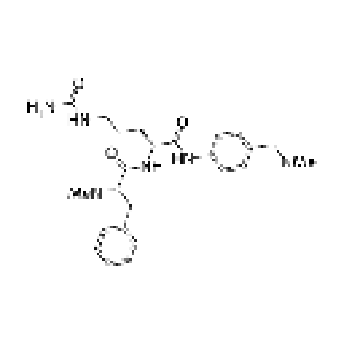 CNCc1ccc(NC(=O)[C@H](CCCNC(N)=O)NC(=O)[C@H](Cc2ccccc2)NC)cc1